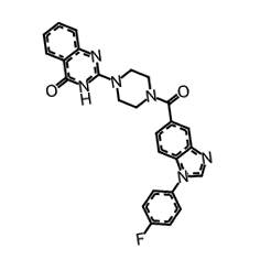 O=C(c1ccc2c(c1)ncn2-c1ccc(F)cc1)N1CCN(c2nc3ccccc3c(=O)[nH]2)CC1